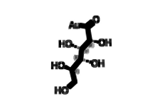 O=[C]([Au])[C@H](O)[C@@H](O)[C@H](O)[C@H](O)CO